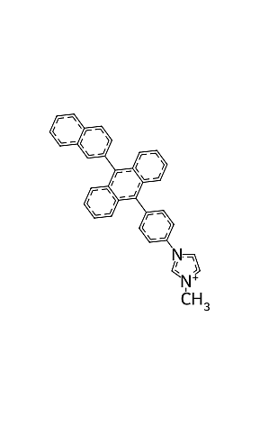 C[n+]1ccn(-c2ccc(-c3c4ccccc4c(-c4ccc5ccccc5c4)c4ccccc34)cc2)c1